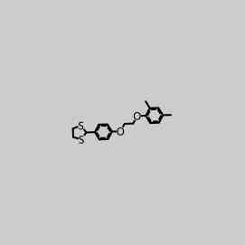 Cc1ccc(OCCOc2ccc(C3SCCS3)cc2)c(C)c1